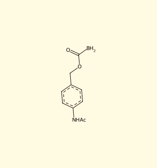 BC(=O)OCc1ccc(NC(C)=O)cc1